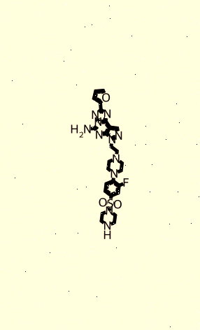 Nc1nc2c(cnn2CCN2CCN(c3ccc(S(=O)(=O)N4CCNCC4)cc3F)CC2)c2nc(-c3ccco3)nn12